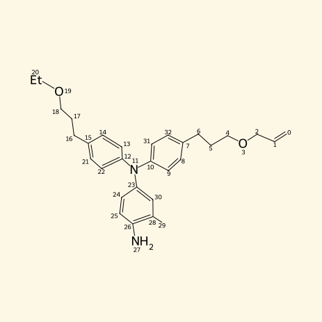 C=CCOCCCc1ccc(N(c2ccc(CCCOCC)cc2)c2ccc(N)c(C)c2)cc1